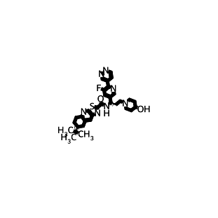 CC(C)(C)[C@H]1CCc2nc3sc(C(=O)N[C@H](CCN4CCC(O)CC4)c4cnc(-c5ccnnc5)c(F)c4)nc3cc2C1